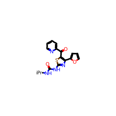 CC(C)NC(=O)Nc1nc(-c2ccco2)c(C(=O)c2ccccn2)s1